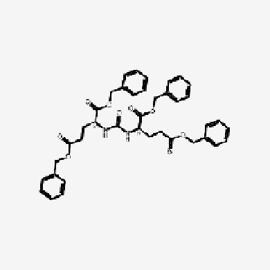 O=C(N[C@@H](CCC(=O)OCc1ccccc1)C(=O)OCc1ccccc1)N[C@H](CCC(=O)OCc1ccccc1)C(=O)OCc1ccccc1